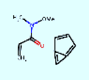 C=CC(=O)N(C)OC.c1cc2cc-2c1